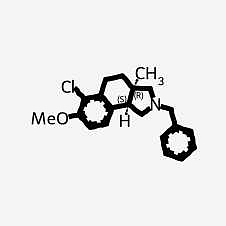 COc1ccc2c(c1Cl)CC[C@@]1(C)CN(Cc3ccccc3)C[C@@H]21